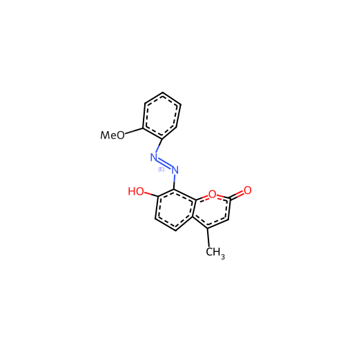 COc1ccccc1/N=N/c1c(O)ccc2c(C)cc(=O)oc12